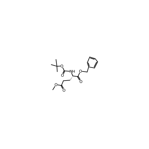 COC(=O)CC[C@H](NC(=O)OC(C)(C)C)C(=O)OCc1ccccc1